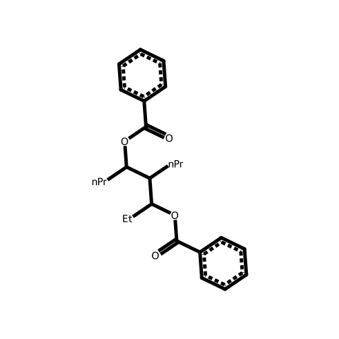 CCCC(OC(=O)c1ccccc1)C(CCC)C(CC)OC(=O)c1ccccc1